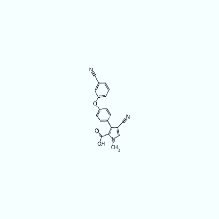 Cn1cc(C#N)c(-c2ccc(Oc3cccc(C#N)c3)cc2)c1C(=O)O